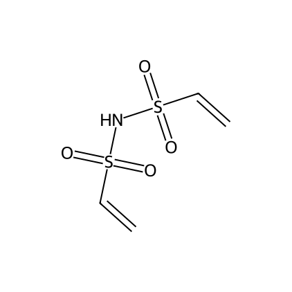 C=CS(=O)(=O)NS(=O)(=O)C=C